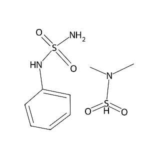 CN(C)[SH](=O)=O.NS(=O)(=O)Nc1ccccc1